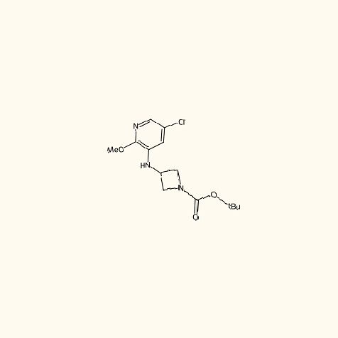 COc1ncc(Cl)cc1NC1CN(C(=O)OC(C)(C)C)C1